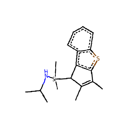 CC1=C(C)C([Si](C)(C)NC(C)C)c2c1sc1ccccc21